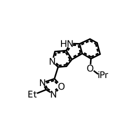 CCc1noc(-c2cc3c(cn2)[nH]c2cccc(OC(C)C)c23)n1